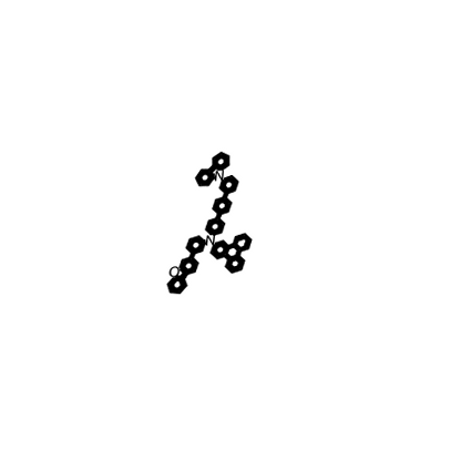 C1=CC2c3ccccc3-c3ccc(N(c4ccc(-c5ccc(-c6cccc(-n7c8ccccc8c8ccccc87)c6)cc5)cc4)c4cccc(-c5ccc6c(c5)oc5ccccc56)c4)cc3C2C=C1